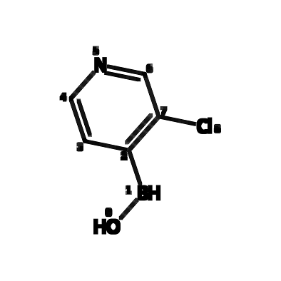 OBc1ccncc1Cl